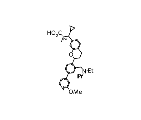 CCN(Cc1cc(-c2ccnc(OC)c2)ccc1C1CCc2ccc(C(C3CC3)[C@H](C)C(=O)O)cc2O1)C(C)C